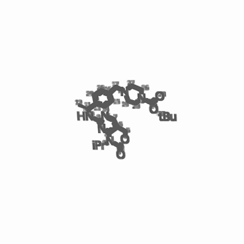 CC(C)N1C(=O)OCc2cnc(N[C@@H](C)c3ccc(CN4CCN(C(=O)OC(C)(C)C)CC4)cc3)nc21